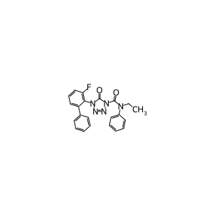 CCN(C(=O)n1nnn(-c2c(F)cccc2-c2ccccc2)c1=O)c1ccccc1